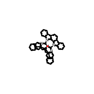 c1ccc(-c2cc(-c3ccccc3)nc(-n3c4ccccc4c4ccc5c6ccccc6n(-c6nc(-c7ccccc7)cc(-c7ccccc7)n6)c5c43)n2)cc1